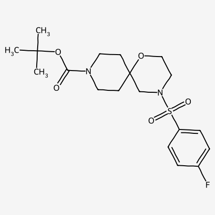 CC(C)(C)OC(=O)N1CCC2(CC1)CN(S(=O)(=O)c1ccc(F)cc1)CCO2